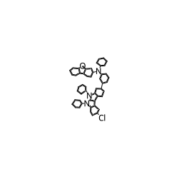 Clc1ccc2c(c1)c1c3ccc(-c4cccc(N(c5ccccc5)c5ccc6c(c5)oc5ccccc56)c4)cc3n(-c3ccccc3)c1n2-c1ccccc1